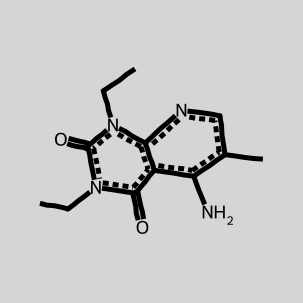 CCn1c(=O)c2c(N)c(C)cnc2n(CC)c1=O